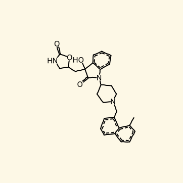 Cc1cccc2cccc(CN3CCC(N4C(=O)C(O)(CC5CNC(=O)O5)c5ccccc54)CC3)c12